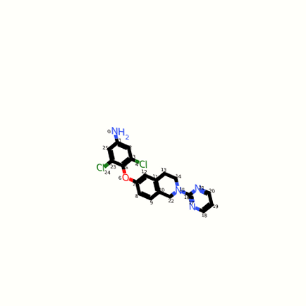 Nc1cc(Cl)c(Oc2ccc3c(c2)CCN(c2ncccn2)C3)c(Cl)c1